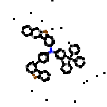 c1ccc(C2(c3ccccc3)c3ccccc3-c3cc(N(c4ccc(-c5cccc6sc7ccccc7c56)cc4)c4ccc5sc6cc7ccccc7cc6c5c4)ccc32)cc1